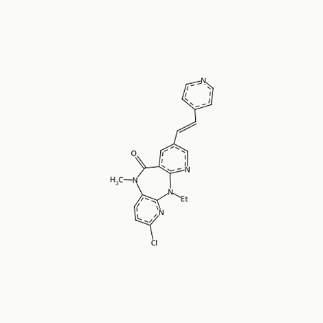 CCN1c2ncc(/C=C/c3ccncc3)cc2C(=O)N(C)c2ccc(Cl)nc21